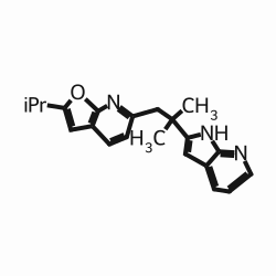 CC(C)c1cc2ccc(CC(C)(C)c3cc4cccnc4[nH]3)nc2o1